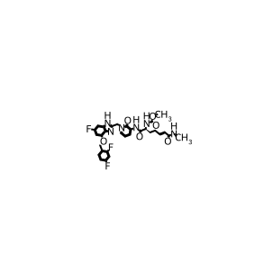 CNC(=O)/C=C/CC[C@H](NC(=O)OC)C(=O)Nc1cccn(Cc2nc3c(OCc4ccc(F)cc4F)cc(F)cc3[nH]2)c1=O